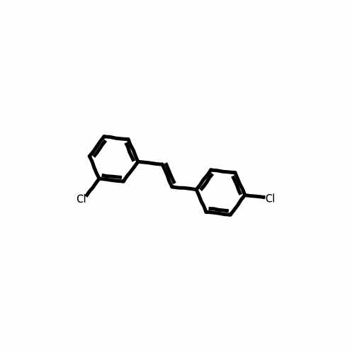 Clc1ccc(C=Cc2cccc(Cl)c2)cc1